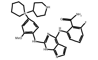 COc1cc([N+]2(C3CCNCC3)CCCCC2)ccc1Nc1nc(Nc2cccc(F)c2C(N)=O)c2ccnc-2[nH]1